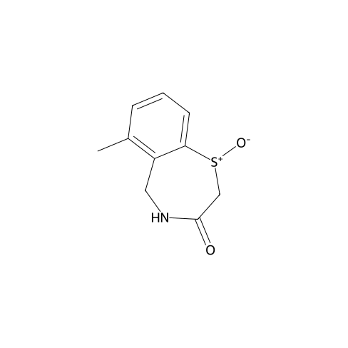 Cc1cccc2c1CNC(=O)C[S+]2[O-]